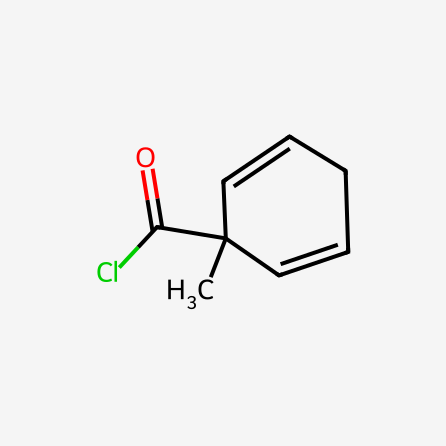 CC1(C(=O)Cl)C=CCC=C1